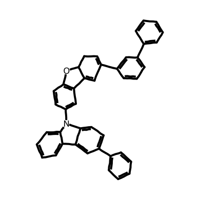 C1=C(c2cccc(-c3ccccc3)c2)C=C2c3cc(-n4c5ccccc5c5cc(-c6ccccc6)ccc54)ccc3OC2C1